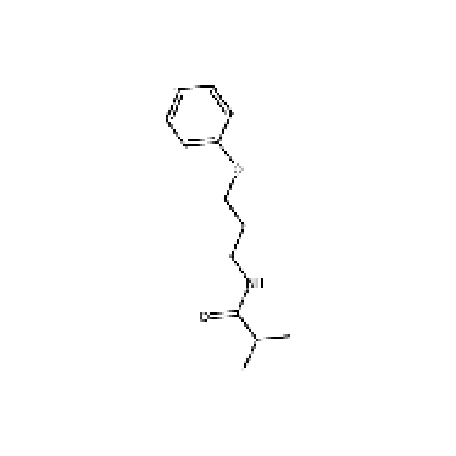 CC(C)C(=O)NCCCOc1cc[c]cc1